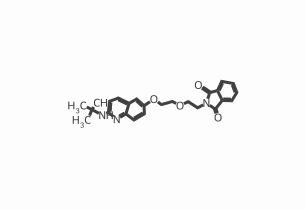 CC(C)(C)Nc1ccc2cc(OCCOCCN3C(=O)c4ccccc4C3=O)ccc2n1